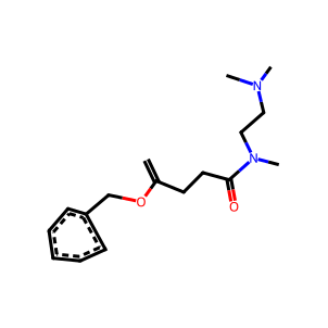 C=C(CCC(=O)N(C)CCN(C)C)OCc1ccccc1